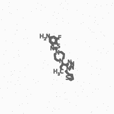 CCC(c1nnnn1Cc1cccs1)N1CCCN(c2nc3cc(N)cc(F)c3s2)CCC1